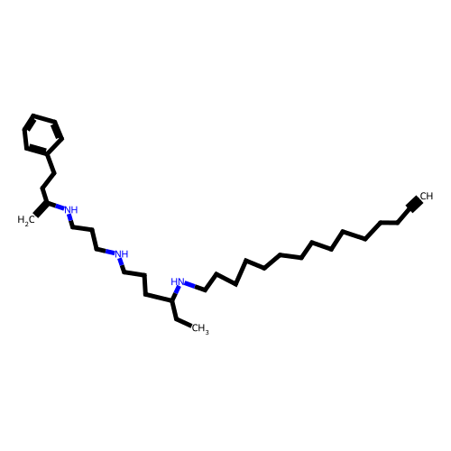 C#CCCCCCCCCCCCCCNC(CC)CCCNCCCNC(=C)CCc1ccccc1